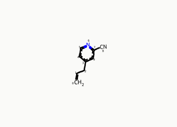 C=CCc1ccnc(C#N)c1